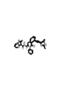 Cc1nc(C)c(C#Cc2cccc3cc([C@H](C)NC(=O)c4c(C)nn5cccnc45)n(-c4ccccc4)c(=O)c23)s1